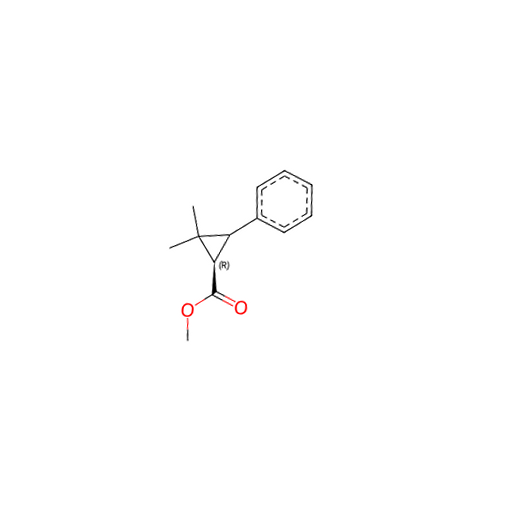 COC(=O)[C@@H]1C(c2ccccc2)C1(C)C